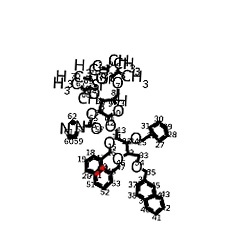 CC(C)[Si]1(C(C)C)OC[C@H]2O[C@@H](OCC(OCc3ccccc3)C(OCc3ccccc3)C(COCc3ccc4ccccc4c3)OCc3ccccc3)C(OC(=O)n3ccnc3)C2O[Si](C(C)C)(C(C)C)O1